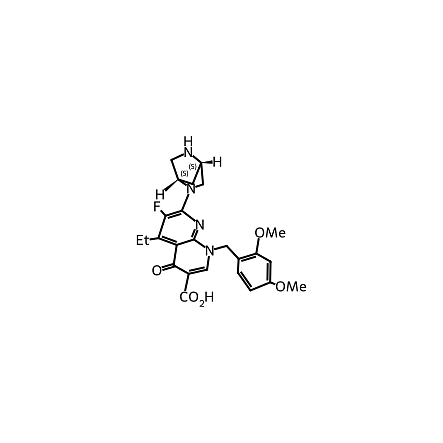 CCc1c(F)c(N2C[C@@H]3C[C@H]2CN3)nc2c1c(=O)c(C(=O)O)cn2Cc1ccc(OC)cc1OC